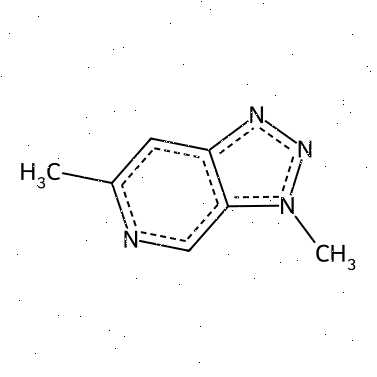 Cc1cc2nnn(C)c2cn1